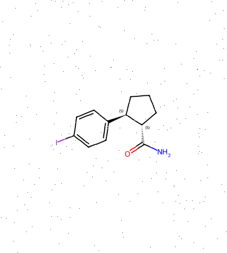 NC(=O)[C@H]1CCC[C@@H]1c1ccc(I)cc1